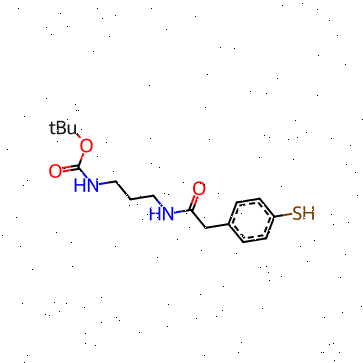 CC(C)(C)OC(=O)NCCCNC(=O)Cc1ccc(S)cc1